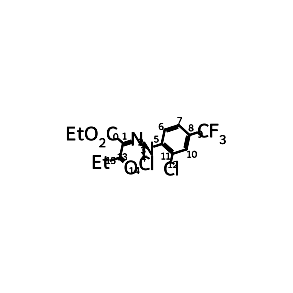 CCOC(=O)C(=NN(Cl)c1ccc(C(F)(F)F)cc1Cl)C(=O)CC